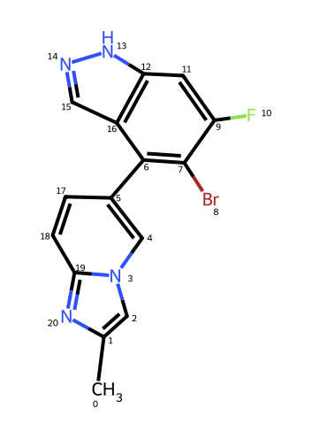 Cc1cn2cc(-c3c(Br)c(F)cc4[nH]ncc34)ccc2n1